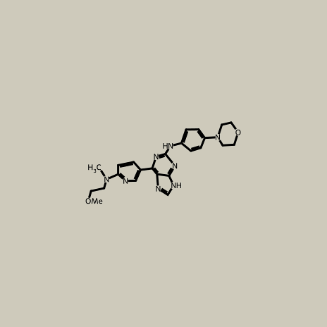 COCCN(C)c1ccc(-c2nc(Nc3ccc(N4CCOCC4)cc3)nc3[nH]cnc23)cn1